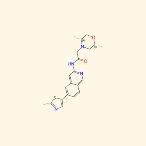 Cc1ncc(-c2ccc3cnc(NC(=O)CN4C[C@@H](C)OC[C@H]4C)cc3c2)s1